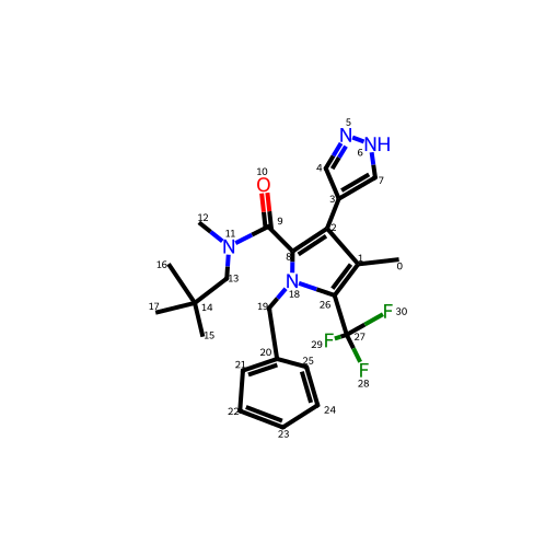 Cc1c(-c2cn[nH]c2)c(C(=O)N(C)CC(C)(C)C)n(Cc2ccccc2)c1C(F)(F)F